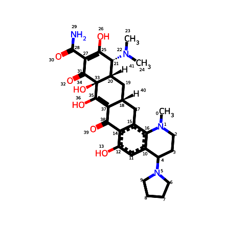 CN1CCC(N2CCCC2)c2cc(O)c3c(c21)C[C@H]1C[C@H]2[C@@H](N(C)C)C(O)=C(C(N)=O)C(=O)[C@@]2(O)C(O)=C1C3=O